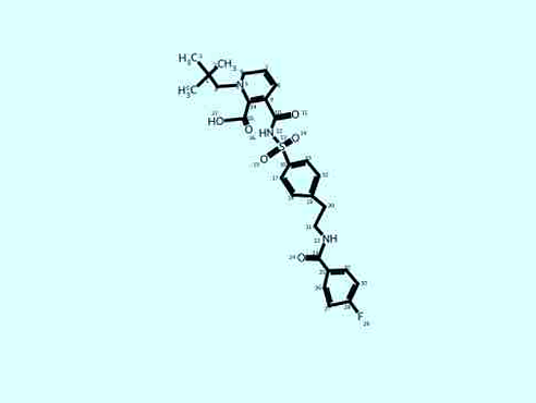 CC(C)(C)CN1CC=CC(C(=O)NS(=O)(=O)c2ccc(CCNC(=O)c3ccc(F)cc3)cc2)=C1C(=O)O